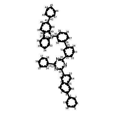 c1ccc(-c2ccc3cc(-c4nc(-c5ccccc5)nc(-c5cccc(-c6cccc(-n7c8ccccc8c8ccc(-c9ccccc9)cc87)c6)c5)n4)ccc3c2)cc1